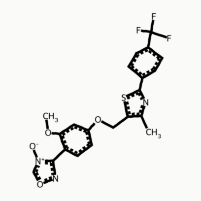 COc1cc(OCc2sc(-c3ccc(C(F)(F)F)cc3)nc2C)ccc1-c1noc[n+]1[O-]